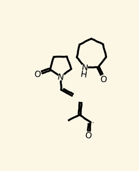 C=C(C)[C]=O.C=CN1CCCC1=O.O=C1CCCCCN1